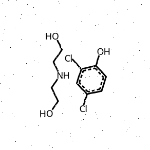 OCCNCCO.Oc1ccc(Cl)cc1Cl